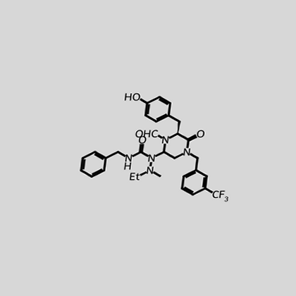 CCN(C)N(C(=O)NCc1ccccc1)C1CN(Cc2cccc(C(F)(F)F)c2)C(=O)[C@H](Cc2ccc(O)cc2)N1C=O